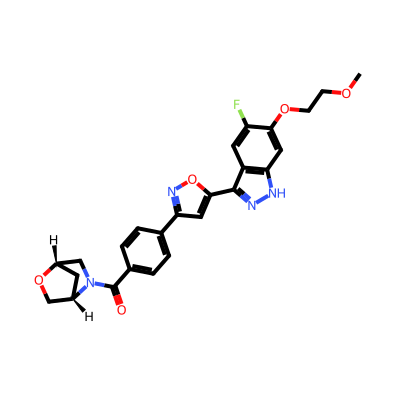 COCCOc1cc2[nH]nc(-c3cc(-c4ccc(C(=O)N5C[C@@H]6C[C@H]5CO6)cc4)no3)c2cc1F